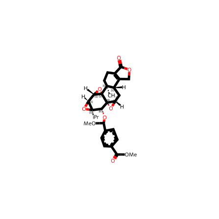 COC(=O)c1ccc(C(OC)O[C@@H]2[C@@]3(C(C)C)O[C@H]3[C@@H]3O[C@]34[C@]23O[C@H]3C[C@H]2C3=C(CC[C@@]24C)C(=O)OC3)cc1